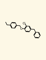 CCc1ccc(COc2ccc(Cc3ccccc3)cc2Cl)cc1